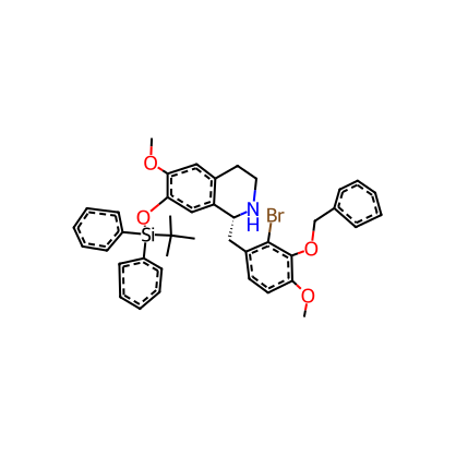 COc1cc2c(cc1O[Si](c1ccccc1)(c1ccccc1)C(C)(C)C)[C@@H](Cc1ccc(OC)c(OCc3ccccc3)c1Br)NCC2